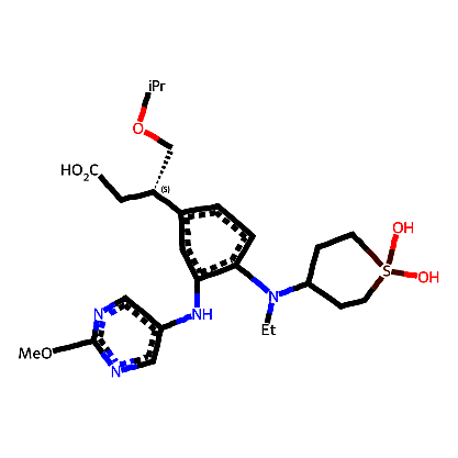 CCN(c1ccc([C@@H](COC(C)C)CC(=O)O)cc1Nc1cnc(OC)nc1)C1CCS(O)(O)CC1